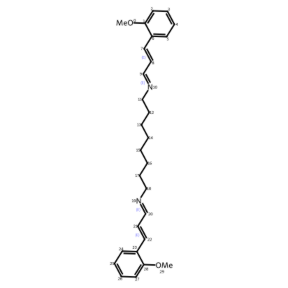 COc1ccccc1/C=C/C=N/CCCCCCCC/N=C/C=C/c1ccccc1OC